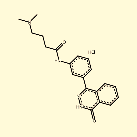 CN(C)CCCC(=O)Nc1cccc(-c2n[nH]c(=O)c3ccccc23)c1.Cl